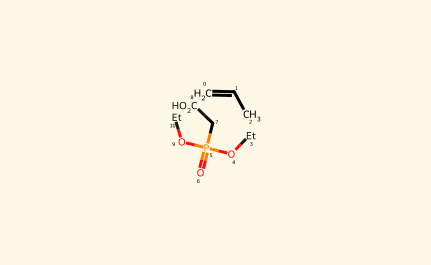 C=CC.CCOP(=O)(CC(=O)O)OCC